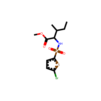 CCC(C)C(NS(=O)(=O)c1ccc(Br)s1)C(=O)OC